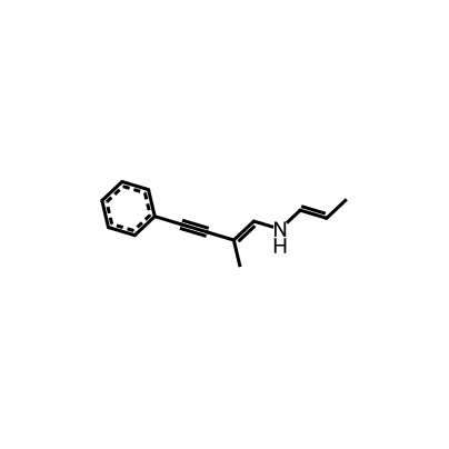 CC=CNC=C(C)C#Cc1ccccc1